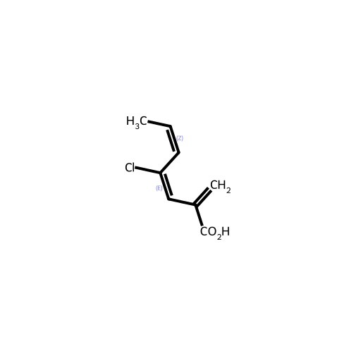 C=C(/C=C(Cl)\C=C/C)C(=O)O